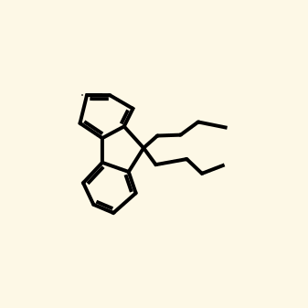 CCCCC1(CCCC)c2cc[c]cc2-c2ccccc21